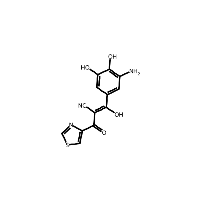 N#C/C(C(=O)c1cscn1)=C(/O)c1cc(N)c(O)c(O)c1